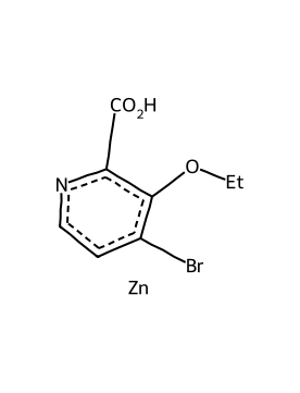 CCOc1c(Br)ccnc1C(=O)O.[Zn]